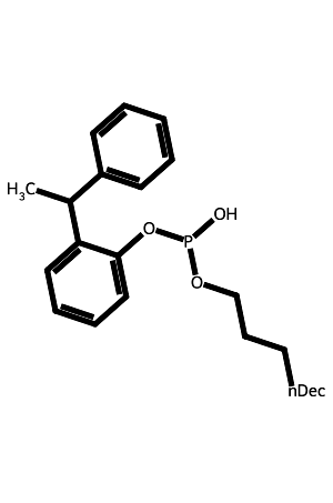 CCCCCCCCCCCCCOP(O)Oc1ccccc1C(C)c1ccccc1